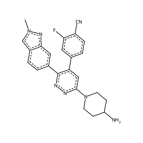 Cn1cc2ccc(-c3nnc(N4CCC(N)CC4)cc3-c3ccc(C#N)c(F)c3)cc2n1